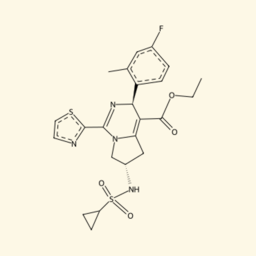 CCOC(=O)C1=C2C[C@H](NS(=O)(=O)C3CC3)CN2C(c2nccs2)=N[C@H]1c1ccc(F)cc1C